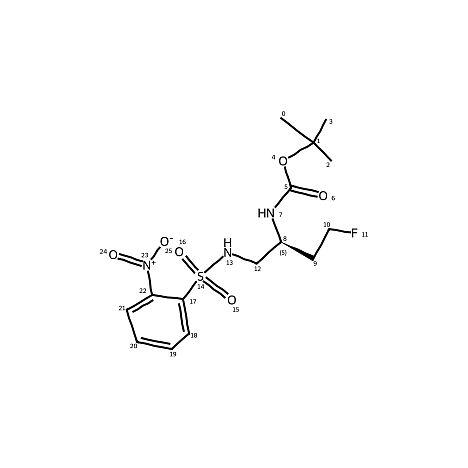 CC(C)(C)OC(=O)N[C@@H](CCF)CNS(=O)(=O)c1ccccc1[N+](=O)[O-]